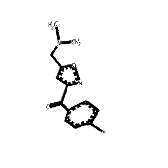 CN(C)Cc1cc(C(=O)c2ccc(F)cc2)no1